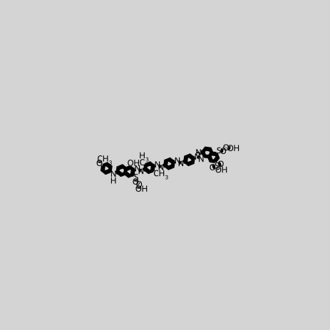 COc1ccc(Nc2ccc3c(O)c(N=Nc4cc(C)c(N=Nc5ccc(N=Nc6ccc(-n7nc8ccc9c(SOOO)cc(S(=O)(=O)O)cc9c8n7)cc6)cc5)cc4C)c(SOOO)cc3c2)cc1